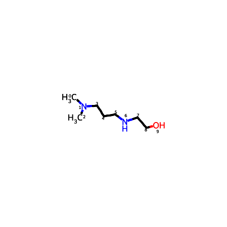 CN(C)CCCNC[CH]O